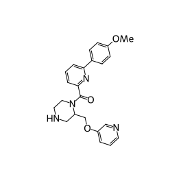 COc1ccc(-c2cccc(C(=O)N3CCNCC3COc3cccnc3)n2)cc1